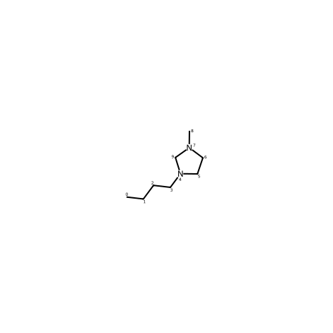 CCCCN1CCN(C)C1